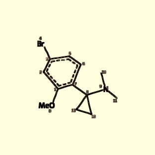 COc1cc(Br)ccc1C1(N(C)C)CC1